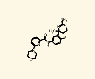 CC1(c2cc(NC(=O)c3cccc(N4CCOCC4)n3)ccc2F)CCSC(N)=N1